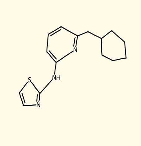 c1cc(CC2CCCCC2)nc(Nc2nccs2)c1